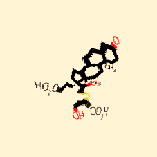 C[C@]12CCC(=O)C=C1CCC1C2CC[C@@]2(C)C1CC[C@]2(CCCC(=O)O)C(=O)CSC(CO)C(=O)O